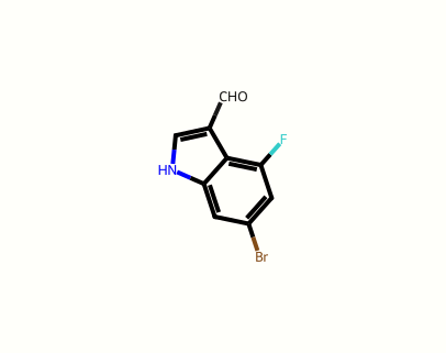 O=Cc1c[nH]c2cc(Br)cc(F)c12